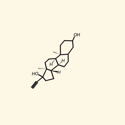 C#CC1(O)CC[C@H]2[C@@H]3CCC4CC(O)CC[C@]4(C)[C@@H]3CC[C@@]21C